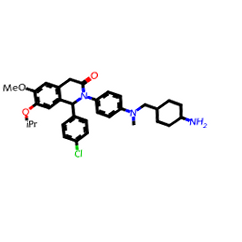 COc1cc2c(cc1OC(C)C)C(c1ccc(Cl)cc1)N(c1ccc(N(C)CC3CCC(N)CC3)cc1)C(=O)C2